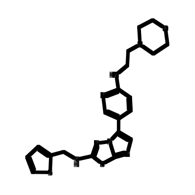 c1csc(CNc2nn3c(-c4ccc(NCCN5CCOCC5)nc4)cnc3s2)c1